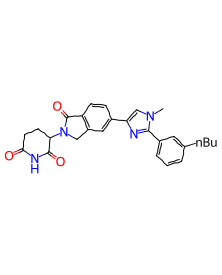 CCCCc1cccc(-c2nc(-c3ccc4c(c3)CN(C3CCC(=O)NC3=O)C4=O)cn2C)c1